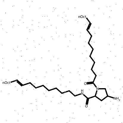 CCCCCCCCC=CCCCCCCCCNC(=O)C1CC(N)CN1C(=O)CCCCCCCC=CCCCCCCCC